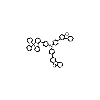 c1ccc(C2(c3ccccc3)c3ccccc3-c3c(-c4ccc(N(c5ccc(-c6ccc7oc8ccccc8c7c6)cc5)c5ccc(-c6ccc7oc8ccccc8c7c6)cc5)cc4)cccc32)cc1